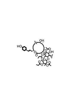 CCC(=O)O[C@@H]1CC(=O)O[C@@H](C/C=C/c2ccc(O)cc2)CCCN(C)C[C@H](O)[C@H](C)C[C@H](CC=O)[C@H](O[C@@H]2OC(C)[C@@H](O[C@H]3CC(C)(OC(C)=O)[C@@H](OC(=O)CC)C(C)O3)C(N(C)C)C2O)[C@H]1OC